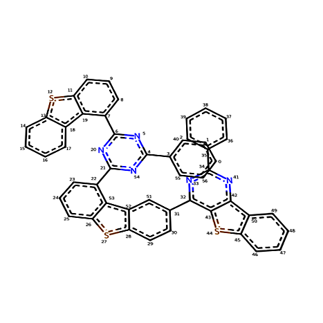 c1ccc(-c2nc(-c3cccc4sc5ccccc5c34)nc(-c3cccc4sc5ccc(-c6nc(-c7ccccc7)nc7c6sc6ccccc67)cc5c34)n2)cc1